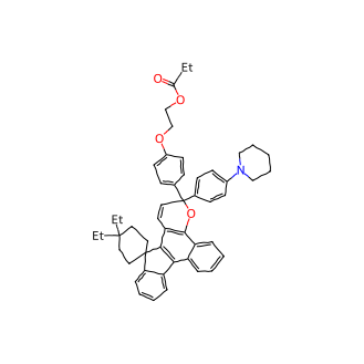 CCC(=O)OCCOc1ccc(C2(c3ccc(N4CCCCC4)cc3)C=Cc3c4c(c5ccccc5c3O2)-c2ccccc2C42CCC(CC)(CC)CC2)cc1